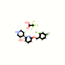 O=C(O)C(F)(F)F.O[C@@H]1CNCC[C@H]1c1cccc(OCc2ccc(Cl)cc2F)n1